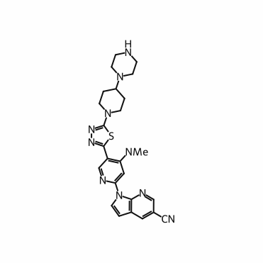 CNc1cc(-n2ccc3cc(C#N)cnc32)ncc1-c1nnc(N2CCC(N3CCNCC3)CC2)s1